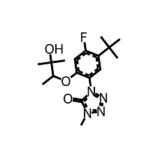 CC(Oc1cc(F)c(C(C)(C)C)cc1-n1nnn(C)c1=O)C(C)(C)O